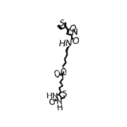 O=C1NC2CSC(CCCCC(=O)OCCCCCCNC(=O)c3cc(-c4ccsc4)on3)C2N1